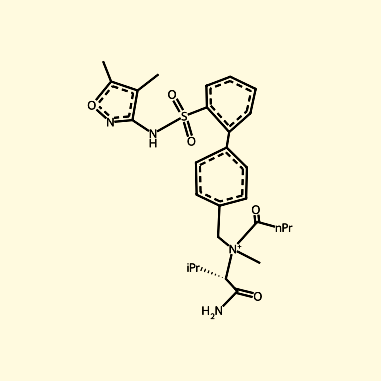 CCCC(=O)[N+](C)(Cc1ccc(-c2ccccc2S(=O)(=O)Nc2noc(C)c2C)cc1)[C@H](C(N)=O)C(C)C